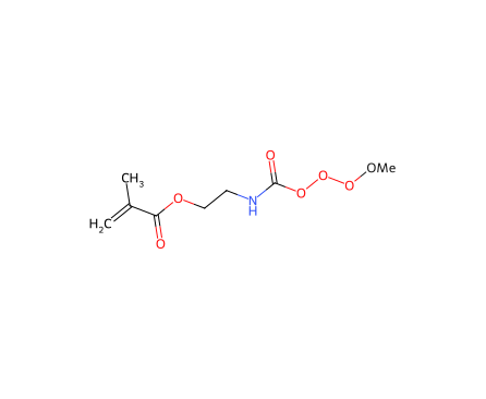 C=C(C)C(=O)OCCNC(=O)OOOOC